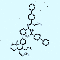 C=C/C(=N\C(NC(=C)c1ccc(-c2ccccc2)cc1)c1cccc(-c2ccc3c(c2)[C@H]2C=CC=CC2C(/C=C\C)=C3CC)c1)c1ccc(-c2ccccc2)cc1